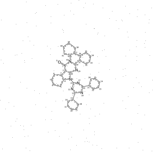 O=c1c2c3ccccc3n(-c3nc(-c4ccccc4)nc(-c4ccccc4)n3)c2nc2c3ccccc3c3ccccc3n12